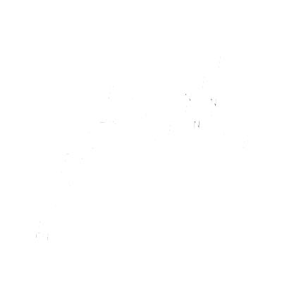 C=CCc1ccc2sc3c(-c4cccc5c4sc4c(-c6cccc(-c7nc(-c8ccccc8)nc(-c8ccccc8)n7)c6)cccc45)cccc3c2c1